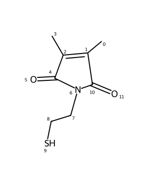 CC1=C(C)C(=O)N(CCS)C1=O